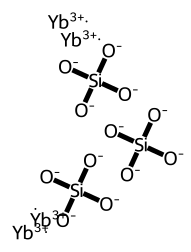 [O-][Si]([O-])([O-])[O-].[O-][Si]([O-])([O-])[O-].[O-][Si]([O-])([O-])[O-].[Yb+3].[Yb+3].[Yb+3].[Yb+3]